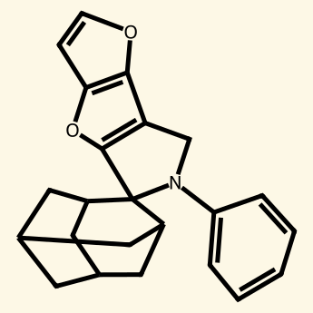 c1ccc(N2Cc3c(oc4ccoc34)C23C2CC4CC(C2)CC3C4)cc1